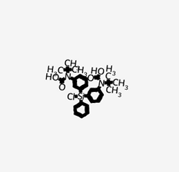 CC(C)(C)N(C(=O)O)c1cccc([Si](Cl)(c2ccccc2)c2cccc(N(C(=O)O)C(C)(C)C)c2)c1